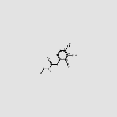 CCOC(=O)Cc1ccc(Cl)c(F)c1F